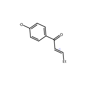 CC/C=C/C(=O)c1ccc([O])cc1